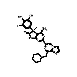 C[C@@]1(c2cc(O)c(C#N)c(F)c2)C(=O)Nc2nc(-c3cn4ccnc4c(CC4CCCCC4)n3)nc(N)c21